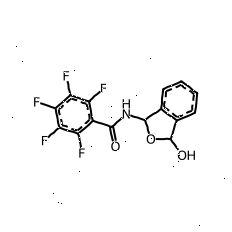 O=C(NC1OC(O)c2ccccc21)c1c(F)c(F)c(F)c(F)c1F